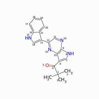 CC(C)(C)C(=O)c1c[nH]c2ncc(-c3c[nH]c4ccccc34)nc12